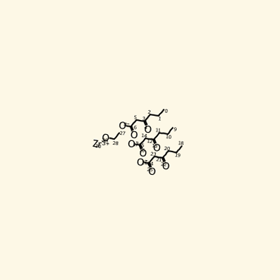 CCCC(=O)CC(=O)[O-].CCCC(=O)CC(=O)[O-].CCCC(=O)CC(=O)[O-].CC[O][Zr+3]